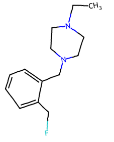 CCN1CCN(Cc2ccccc2CF)CC1